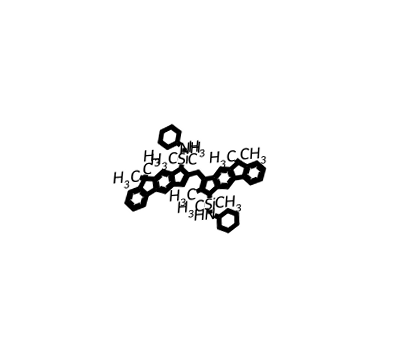 CC1=C(CC2=Cc3cc4c(cc3C2[Si](C)(C)NC2CCCCC2)C(C)(C)c2ccccc2-4)c2cc3c(cc2C1[Si](C)(C)NC1CCCCC1)-c1ccccc1C3(C)C